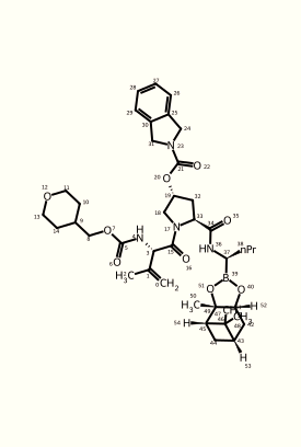 C=C(C)[C@H](NC(=O)OCC1CCOCC1)C(=O)N1C[C@H](OC(=O)N2Cc3ccccc3C2)C[C@H]1C(=O)N[C@@H](CCC)B1O[C@@H]2C[C@@H]3C[C@@H](C3(C)C)[C@]2(C)O1